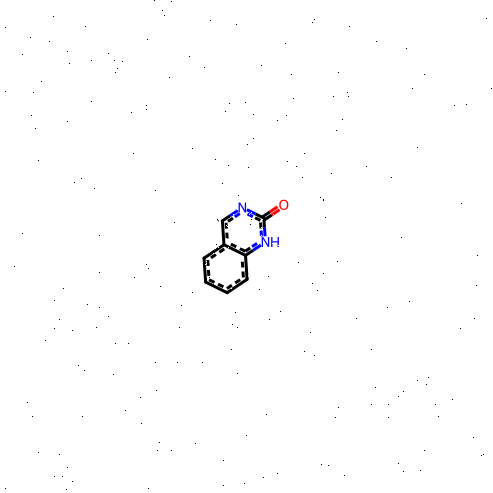 O=c1n[c]c2ccccc2[nH]1